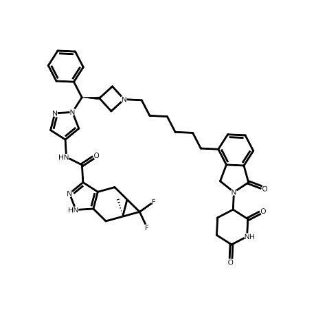 C[C@]12Cc3[nH]nc(C(=O)Nc4cnn([C@@H](c5ccccc5)C5CN(CCCCCCc6cccc7c6CN(C6CCC(=O)NC6=O)C7=O)C5)c4)c3CC1C2(F)F